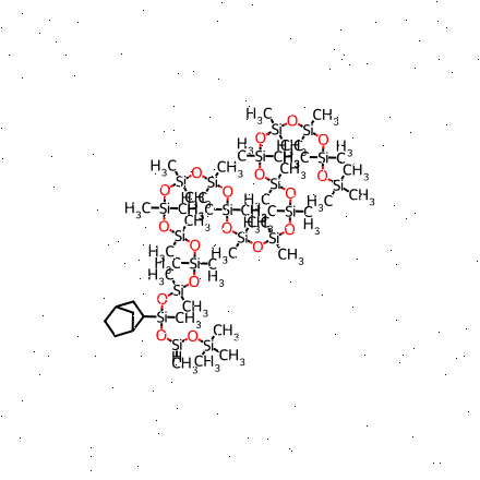 C[SiH](O[Si](C)(C)C)O[Si](C)(O[Si](C)(C)O[Si](C)(C)O[Si](C)(C)O[Si](C)(C)O[Si](C)(C)O[Si](C)(C)O[Si](C)(C)O[Si](C)(C)O[Si](C)(C)O[Si](C)(C)O[Si](C)(C)O[Si](C)(C)O[Si](C)(C)O[Si](C)(C)O[Si](C)(C)O[Si](C)(C)C)C1CC2CCC1C2